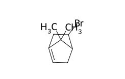 CC1(C)C2=CCC1C(Br)C2